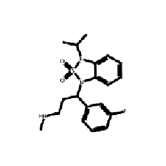 CNCCC(c1cccc(F)c1)N1c2ccccc2N(C(C)C)S1(=O)=O